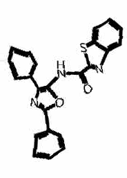 O=C(Nc1oc(-c2ccccc2)nc1-c1ccccc1)c1nc2ccccc2s1